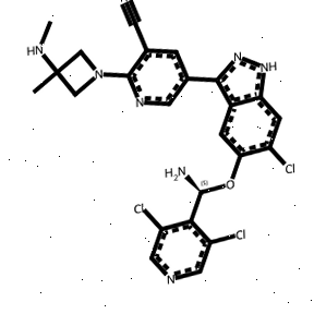 CNC1(C)CN(c2ncc(-c3n[nH]c4cc(Cl)c(O[C@H](N)c5c(Cl)cncc5Cl)cc34)cc2C#N)C1